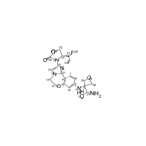 NC(O)C1(Nc2ccc3c(c2)OCCn2cc(N4C(=O)OC[C@H]4C(F)F)nc2-3)COC1